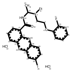 CCN(CCOc1cccnc1F)C(C)NC(=O)c1cccc2nc3cc(I)ccc3nc12.Cl.Cl